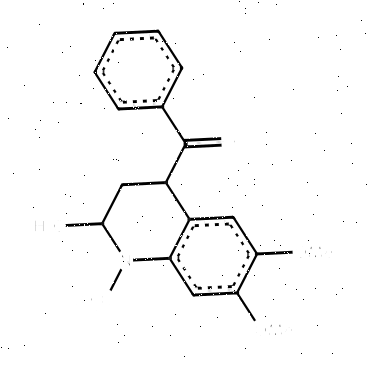 CCOC(=O)N1c2cc(OC)c(OC)cc2C(C(=O)c2ccccc2)CC1C